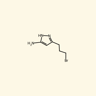 Nc1cc(CCCBr)n[nH]1